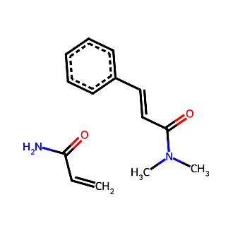 C=CC(N)=O.CN(C)C(=O)C=Cc1ccccc1